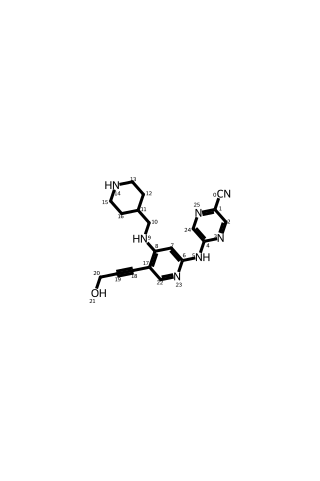 N#Cc1cnc(Nc2cc(NCC3CCNCC3)c(C#CCO)cn2)cn1